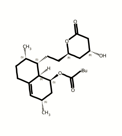 CCC(C)C(=O)O[C@H]1C[C@H](C)C=C2CC[C@H](C)[C@H](CC[C@@H]3C[C@@H](O)CC(=O)O3)[C@H]21